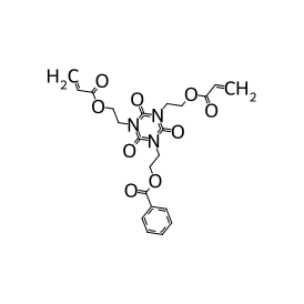 C=CC(=O)OCCn1c(=O)n(CCOC(=O)C=C)c(=O)n(CCOC(=O)c2ccccc2)c1=O